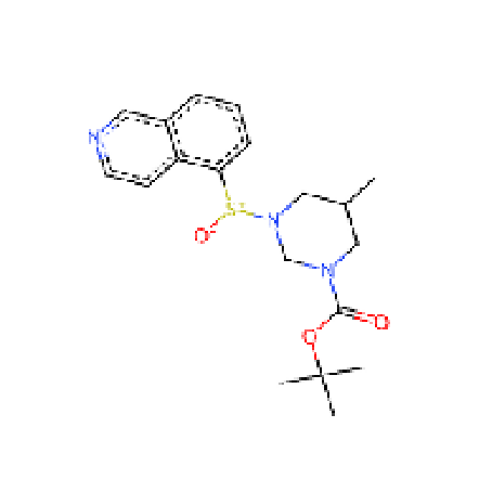 CC1CN(C(=O)OC(C)(C)C)CN([S+]([O-])c2cccc3cnccc23)C1